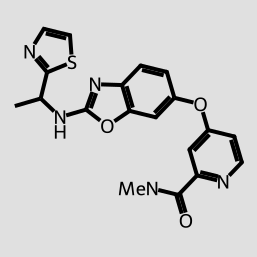 CNC(=O)c1cc(Oc2ccc3nc(NC(C)c4nccs4)oc3c2)ccn1